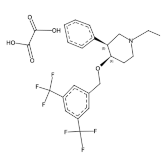 CCN1CC[C@@H](OCc2cc(C(F)(F)F)cc(C(F)(F)F)c2)[C@@H](c2ccccc2)C1.O=C(O)C(=O)O